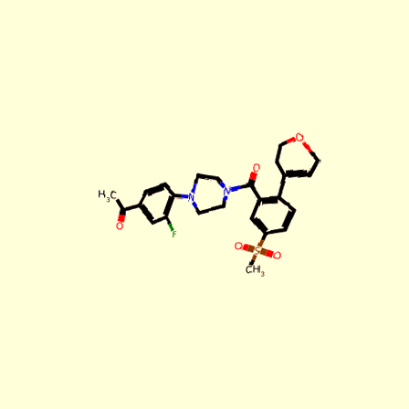 CC(=O)c1ccc(N2CCN(C(=O)c3cc(S(C)(=O)=O)ccc3C3=CCOCC3)CC2)c(F)c1